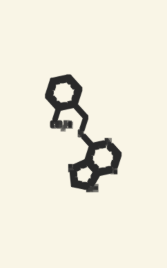 CCOC(=O)c1ccccc1CSc1ncnc2[nH]cnc12